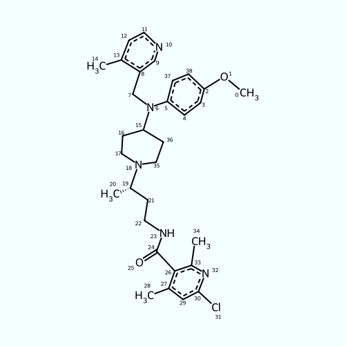 COc1ccc(N(Cc2cnccc2C)C2CCN([C@@H](C)CCNC(=O)c3c(C)cc(Cl)nc3C)CC2)cc1